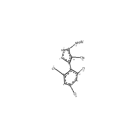 CC(=O)Nc1[nH]nc(-c2c(Cl)cc(Cl)cc2Cl)c1C#N